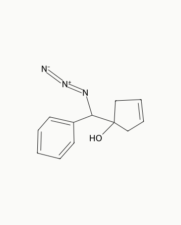 [N-]=[N+]=NC(c1ccccc1)C1(O)CC=CC1